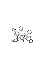 CN(C(=O)[C@H](Cc1ccccc1)NC(=O)C1CCCCC1)[C@@H](Cc1c[nH]cn1)C(=O)N[C@@H](CC1CCCCC1)[C@@H](O)C[C@@H]1OCOC1(C)C